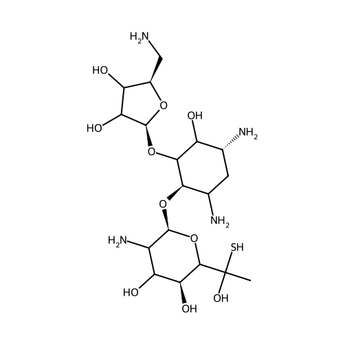 CC(O)(S)C1O[C@H](O[C@@H]2C(N)C[C@@H](N)C(O)C2O[C@@H]2O[C@H](CN)C(O)C2O)C(N)C(O)[C@@H]1O